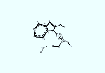 CCC1=Cc2ccccc2[CH]1[Zr+2][SiH](CC)CC.[I-].[I-]